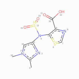 Cc1nc(N(c2scnc2C(=O)O)[SH](=O)=O)cn1C